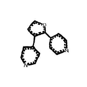 c1cc(-c2ccoc2-c2ccncc2)ccn1